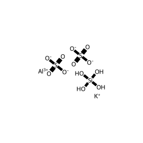 O=S(=O)([O-])[O-].O=S(=O)([O-])[O-].O[Si](O)(O)O.[Al+3].[K+]